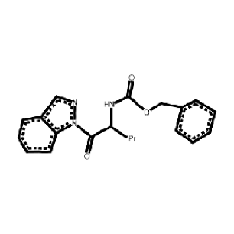 CC(C)C(NC(=O)OCc1ccccc1)C(=O)n1ncc2ccccc21